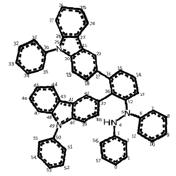 c1ccc(NN(c2ccccc2)c2cccc(-c3ccc4c(c3)c3ccccc3n4-c3ccccc3)c2-c2ccc3c(c2)c2ccccc2n3-c2ccccc2)cc1